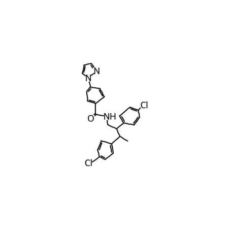 CC(c1ccc(Cl)cc1)C(CNC(=O)c1ccc(-n2cccn2)cc1)c1ccc(Cl)cc1